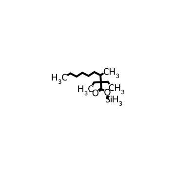 CCCCCCC(C)C(CC)(CC)C(=O)O[SiH3]